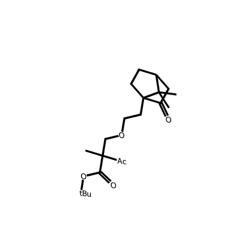 CC(=O)C(C)(COCCC12CCC(CC1=O)C2(C)C)C(=O)OC(C)(C)C